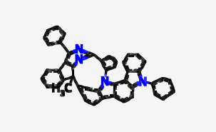 CC12c3ccc4c5ccc6c(c7ccccc7n6-c6ccccc6)c5n(c4c3)-c3ccccc3-c3nc(-c4ccccc4)c(c1n3)-c1ccccc12